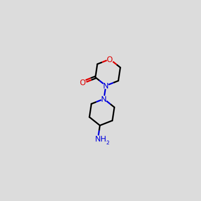 NC1CCN(N2CCOCC2=O)CC1